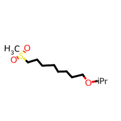 CC(C)OCCCCCCCCS(C)(=O)=O